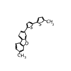 Cc1ccc2c(c1)oc1cc(-c3ccc(-c4ccc(C)s4)s3)ccc12